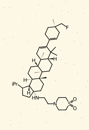 CC(C)C1CC[C@]2(NCCN3CCS(=O)(=O)CC3)CC[C@]3(C)[C@H](CC[C@@H]4[C@@]5(C)CC=C(C6=CC[C@](C)(CF)CC6)C(C)(C)[C@@H]5CC[C@]43C)[C@@H]12